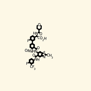 COc1ccc(-c2cc(C(NC(=O)C3CCOCC3)C(=O)O)ccc2F)cc1C(=O)Nc1cc2sc(C)nc2cc1C(=O)Nc1ccc(F)c(C(F)(F)F)c1